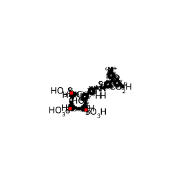 CN(C)c1ccc2c(-c3ccc(NC(=S)NCc4ccc(C5=CC6CC7C=C(S(=O)(=O)O)C=C(CC8C=C(S(=O)(=O)O)C=C(CC9=CC(S(=O)(=O)O)=CC(CC(=C5)C6O)C9O)C8O)C7O)cc4)cc3C(=O)O)c3ccc(=[N+](C)C)cc-3oc2c1